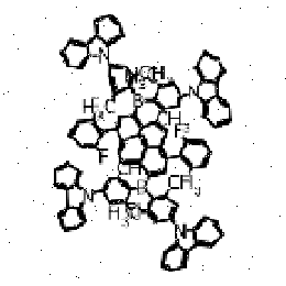 Cc1cc(-n2c3ccccc3c3ccccc32)cc(C)c1B(c1c(C)cc(-n2c3ccccc3c3ccccc32)cc1C)c1cc(-c2c(F)cccc2F)c2ccc3c(B(c4c(C)cc(-n5c6ccccc6c6ccccc65)cc4C)c4c(C)cc(-n5c6ccccc6c6ccccc65)cc4C)cc(-c4c(F)cccc4F)c4ccc1c2c34